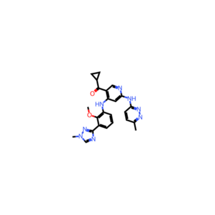 COc1c(Nc2cc(Nc3ccc(C)nn3)ncc2C(=O)C2CC2)cccc1-c1ncn(C)n1